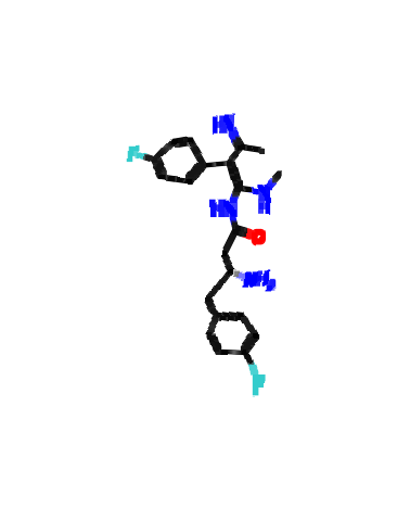 CN/C(NC(=O)C[C@H](N)Cc1ccc(F)cc1)=C(\C(C)=N)c1ccc(F)cc1